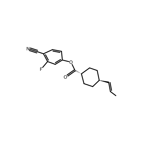 C/C=C/[C@H]1CC[C@H](C(=O)Oc2ccc(C#N)c(F)c2)CC1